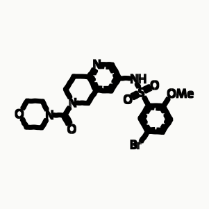 COc1ccc(Br)cc1S(=O)(=O)Nc1cnc2c(c1)CN(C(=O)N1CCOCC1)CC2